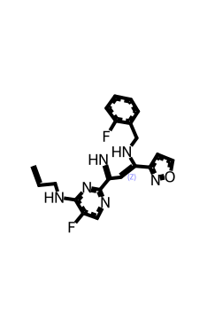 C=CCNc1nc(C(=N)/C=C(\NCc2ccccc2F)c2ccon2)ncc1F